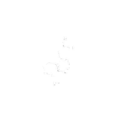 CC(C)Cc1cccc2c1CCOB2O